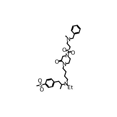 CCN(CCCCN1CCN(S(=O)(=O)CCN(C)Cc2ccccc2)CC1=O)C(C)Cc1ccc(S(C)(=O)=O)cc1